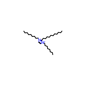 CCCCCCCCCCCc1n(CCCCCCCCC)cc[n+]1CCCCCCCC